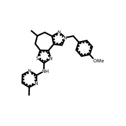 COc1ccc(Cn2cc3c(n2)CC(C)Cc2sc(Nc4nccc(C)n4)nc2-3)cc1